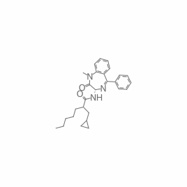 CCCCCC(CC1CC1)C(=O)N[C@H]1N=C(c2ccccc2)c2ccccc2N(C)C1=O